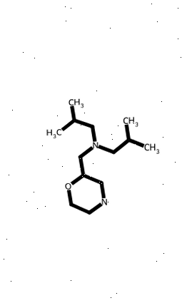 CC(C)CN(CC(C)C)CC1C[N]CCO1